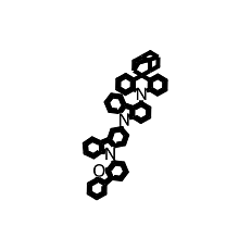 c1ccc2c(c1)N(c1cccc3c1c1ccccc1n3-c1ccc3c(c1)c1ccccc1n3-c1cccc3c1oc1ccccc13)c1ccccc1C21C2CC3CC(C2)CC1C3